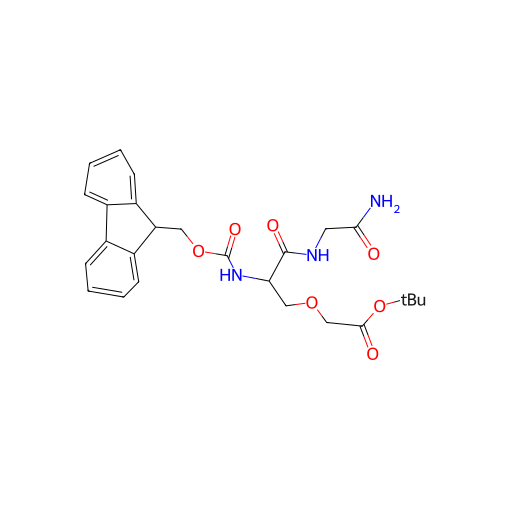 CC(C)(C)OC(=O)COCC(NC(=O)OCC1c2ccccc2-c2ccccc21)C(=O)NCC(N)=O